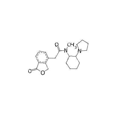 CN(C(=O)Cc1cccc2c1COC2=O)C1CCCCC1N1CCCC1